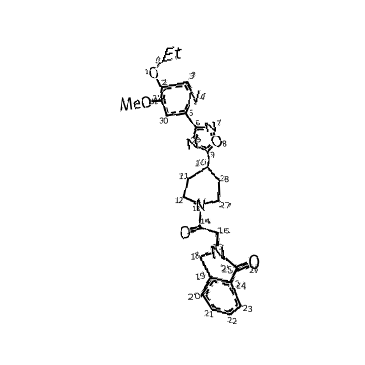 CCOc1cnc(-c2noc(C3CCN(C(=O)CN4Cc5ccccc5C4=O)CC3)n2)cc1OC